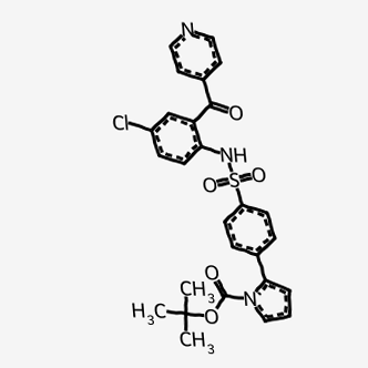 CC(C)(C)OC(=O)n1cccc1-c1ccc(S(=O)(=O)Nc2ccc(Cl)cc2C(=O)c2ccncc2)cc1